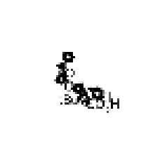 CC(C)(C)Sc1c(CC(C)(C)C(=O)O)n(Cc2ccc(Cl)cc2)c2ccc(OCC3CCCN3C(=O)[C@@H]3C[C@H]3c3ccccc3)cc12